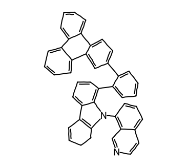 C1=Cc2c(n(-c3cccc4ccncc34)c3c(-c4ccccc4-c4ccc5c6ccccc6c6ccccc6c5c4)cccc23)CC1